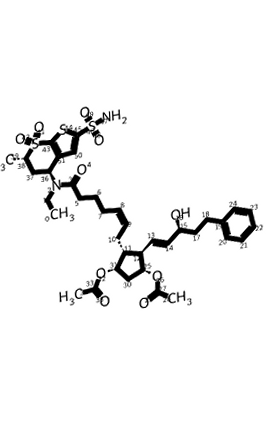 CCN(C(=O)CCC/C=C\C[C@@H]1[C@@H](/C=C/[C@@H](O)CCc2ccccc2)[C@H](OC(C)=O)C[C@@H]1OC(C)=O)[C@H]1C[C@H](C)S(=O)(=O)c2sc(S(N)(=O)=O)cc21